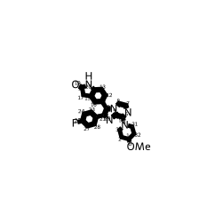 COC1CCN(c2nccn3c(-c4ccc5c(c4)CC(=O)N5)c(-c4ccc(F)cc4)nc23)CC1